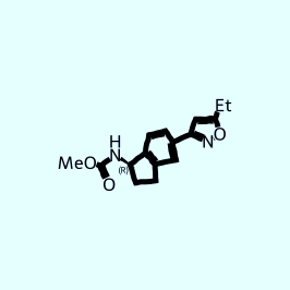 CCc1cc(-c2ccc3c(c2)CC[C@H]3NC(=O)OC)no1